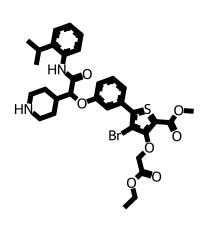 CCOC(=O)COc1c(C(=O)OC)sc(-c2cccc(OC(C(=O)Nc3ccccc3C(C)C)C3CCNCC3)c2)c1Br